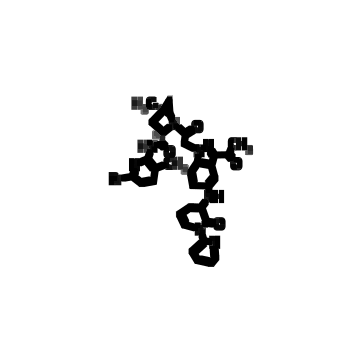 CC(=O)c1nn(CC(=O)N2C3C[C@]3(C)C[C@H]2C(=O)Nc2nc(Br)ccc2C)c2ccc(Nc3cccn(-c4ccccn4)c3=O)cc12